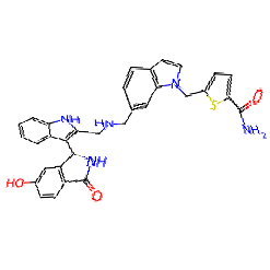 NC(=O)c1ccc(Cn2ccc3ccc(CNCc4[nH]c5ccccc5c4C4NC(=O)c5ccc(O)cc54)cc32)s1